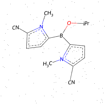 [C-]#[N+]c1ccc(B(OC(C)C)c2ccc(C#N)n2C)n1C